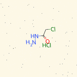 Cl.NNC(=O)CCl